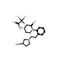 CCCC1CCN(CCc2ccccc2N2CCCCC2=O)C1.O=C(O)C(F)(F)F